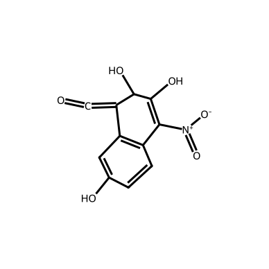 O=C=C1c2cc(O)ccc2C([N+](=O)[O-])=C(O)C1O